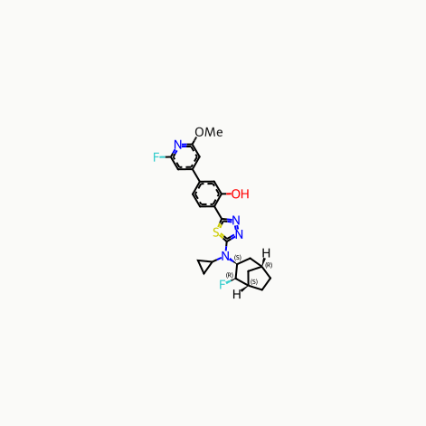 COc1cc(-c2ccc(-c3nnc(N(C4CC4)[C@H]4C[C@@H]5CC[C@@H](C5)[C@H]4F)s3)c(O)c2)cc(F)n1